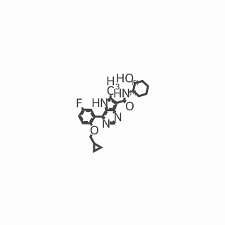 Cc1[nH]c2c(-c3cc(F)ccc3OCC3CC3)ncnc2c1C(=O)N[C@@H]1CCCC[C@H]1O